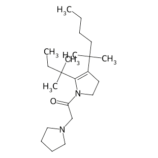 CCCCC(C)(C)C1=C(C(C)(C)CC)N(C(=O)CN2CCCC2)CC1